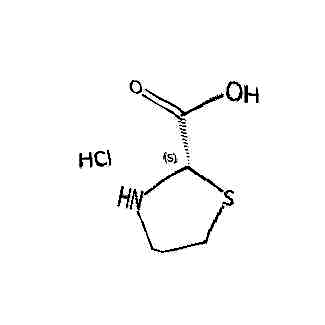 Cl.O=C(O)[C@H]1NCCS1